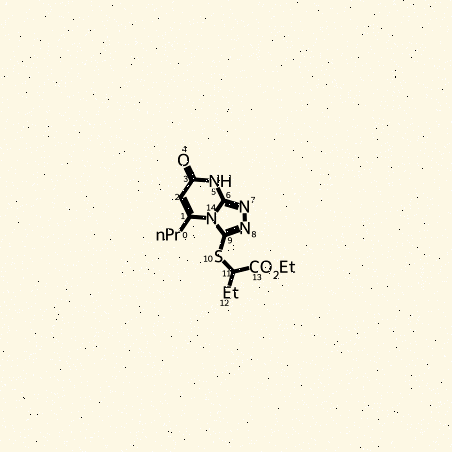 CCCc1cc(=O)[nH]c2nnc(SC(CC)C(=O)OCC)n12